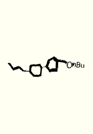 C/C=C/C[C@H]1CC[C@H](c2ccc(COCCCC)cc2)CC1